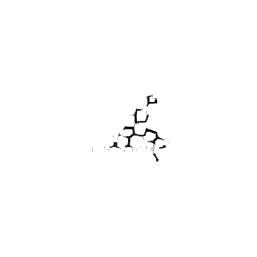 CNc1nc(N)nn2cc([C@@H]3CCN(C4COC4)C[C@@H]3F)c(-c3ccc4ncn(CCF)c4n3)c12